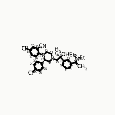 C=C(c1cccc([C@](C)(O)CN2CCN(c3ccc(Cl)cc3C#N)[C@H](c3ccc(Cl)cc3)C2)c1)N(CC)CC